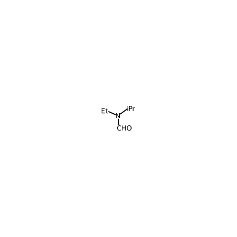 CCN(C=O)C(C)C